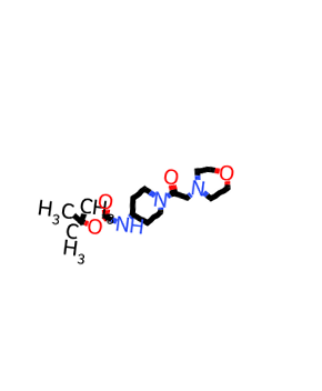 CC(C)(C)OC(=O)NC1CCN(C(=O)CN2CCOCC2)CC1